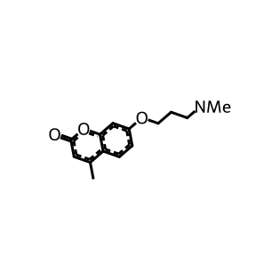 CNCCCOc1ccc2c(C)cc(=O)oc2c1